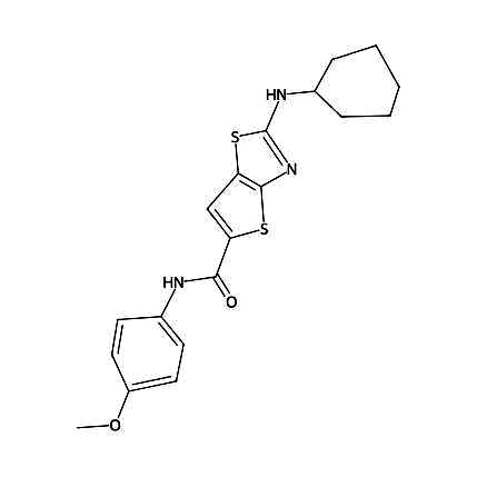 COc1ccc(NC(=O)c2cc3sc(NC4CCCCC4)nc3s2)cc1